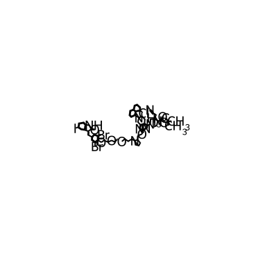 CC(C)(C)OC(=O)N1CCN(c2nc(OCC3CCCN3CCCOCCOCCOc3c(Br)cc(C=C4C(=O)Nc5ccc(I)cc54)cc3Br)nc3c2CCN(c2cccc4cccc(Cl)c24)C3)CC1CC#N